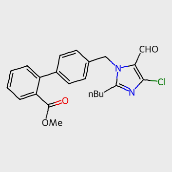 CCCCc1nc(Cl)c(C=O)n1Cc1ccc(-c2ccccc2C(=O)OC)cc1